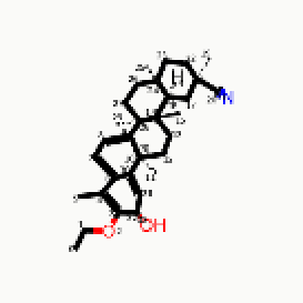 CCOC1=C(C)C2=CC=C3[C@@](C)(CC[C@@]4(C)[C@@H]5C[C@](C)(C#N)CC[C@]5(C)CC[C@]34C)C2=CC1O